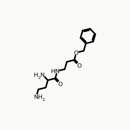 NCCC(N)C(=O)NCCC(=O)OCc1ccccc1